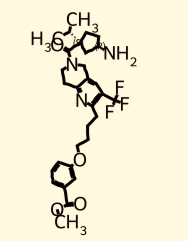 COC(=O)c1cccc(OCCCCc2nc3c(cc2C(F)(F)F)CN(C(=O)[C@@]2(C(C)C)CC[C@@H](N)C2)CC3)c1